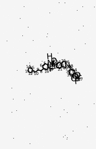 O=S(=O)(Nc1ccc(CCCC2CCCC2)cc1F)c1ccc2c(c1)CCN(Cc1ccc3c(c1)OC(F)(F)O3)C2